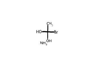 CC(O)(O)Br.N